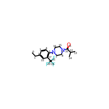 CCc1ccc(N2CCN(C(=O)C(C)C)CC2)c(C(F)(F)F)c1